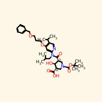 CC(C)CN(C(=O)[C@H]1CN(C(=O)OC(C)(C)C)C[C@@H](C(=O)O)C1O)c1cc(OCCCOCc2ccccc2)c(C(C)C)cn1